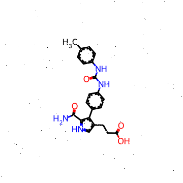 Cc1ccc(NC(=O)Nc2ccc(-c3c(CCC(=O)O)c[nH]c3C(N)=O)cc2)cc1